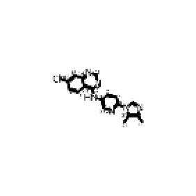 Cc1ncn(-c2ccc(Nc3ncnc4cc(Cl)ccc34)cn2)c1C